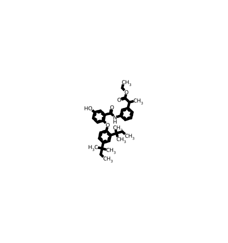 CCOC(=O)C(C)c1cccc(NC(=O)c2cc(O)ccc2Oc2ccc(C(C)(C)CC)cc2C(C)(C)CC)c1